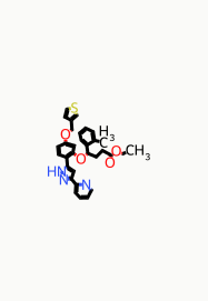 CCOC(=O)CCC(Oc1cc(OCc2ccsc2)ccc1-c1cc(-c2ccccn2)n[nH]1)c1ccccc1C